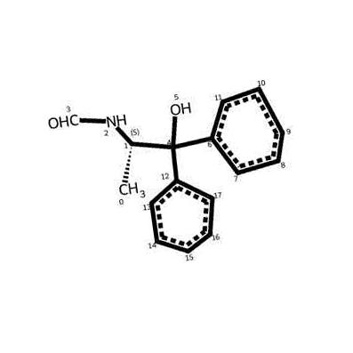 C[C@H](NC=O)C(O)(c1ccccc1)c1ccccc1